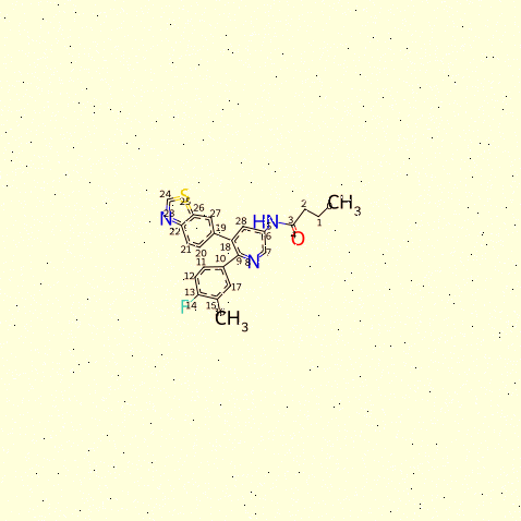 CCCC(=O)Nc1cnc(-c2ccc(F)c(C)c2)c(-c2ccc3ncsc3c2)c1